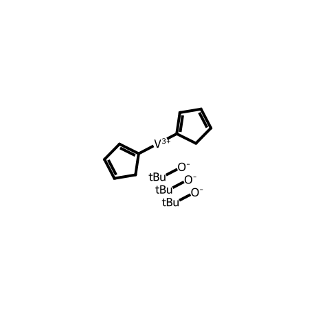 C1=CC[C]([V+3][C]2=CC=CC2)=C1.CC(C)(C)[O-].CC(C)(C)[O-].CC(C)(C)[O-]